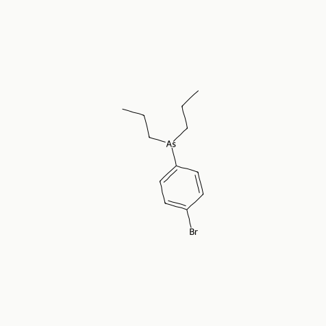 CCC[As](CCC)c1ccc(Br)cc1